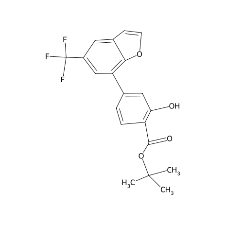 CC(C)(C)OC(=O)c1ccc(-c2cc(C(F)(F)F)cc3ccoc23)cc1O